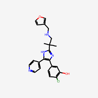 CC(C)(CNCc1ccoc1)c1nc(-c2ccc(Cl)c(O)c2)c(-c2ccncc2)[nH]1